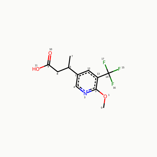 COc1ncc(C(C)CC(=O)O)cc1C(F)(F)F